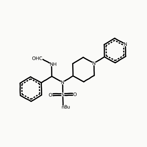 CCCCS(=O)(=O)N(C1CCN(c2ccncc2)CC1)C(NC=O)c1ccccc1